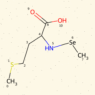 CSCCC(N[Se]C)C(=O)O